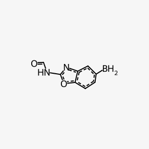 Bc1ccc2oc(NC=O)nc2c1